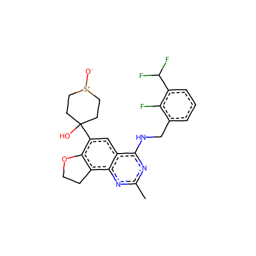 Cc1nc(NCc2cccc(C(F)F)c2F)c2cc(C3(O)CC[S+]([O-])CC3)c3c(c2n1)CCO3